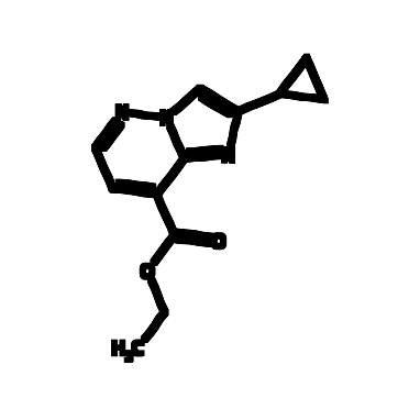 CCOC(=O)c1ccnn2cc(C3CC3)nc12